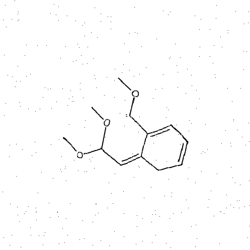 CO[C]C1=CC=CCC1=CC(OC)OC